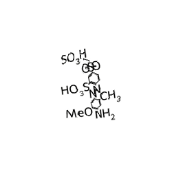 COc1cc(N=Nc2ccc(S(=O)(=O)CCS(=O)(=O)O)cc2S(=O)(=O)O)c(C)cc1N